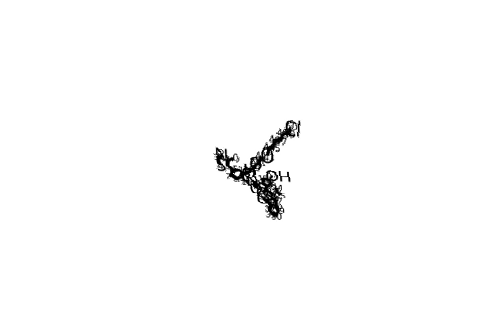 Cc1ncsc1-c1ccc(CNC(=O)[C@@H]2C[C@@H](O)CC2C(=O)[C@H](C(C)C)N2Cc3ccccc3C2=O)c(OCCOCCOCCCCCCCl)c1